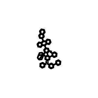 Cc1ccccc1-c1cc(N(c2ccccc2)c2cccc(-c3ccccc3)c2)cc2c1-c1c(C)cc(-c3c4ccccc4c(-c4ccc5ccccc5c4)c4ccccc34)cc1C21C2CC3CC(C2)CC1C3